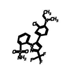 CCN(C)c1ccc(-c2cc(C(F)(F)F)nn2-c2ccccc2S(N)(=O)=O)cc1Cl